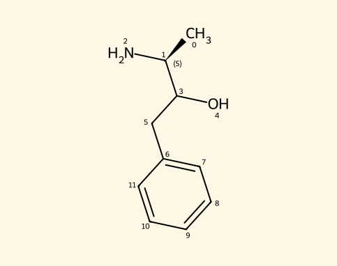 C[C@H](N)C(O)Cc1ccccc1